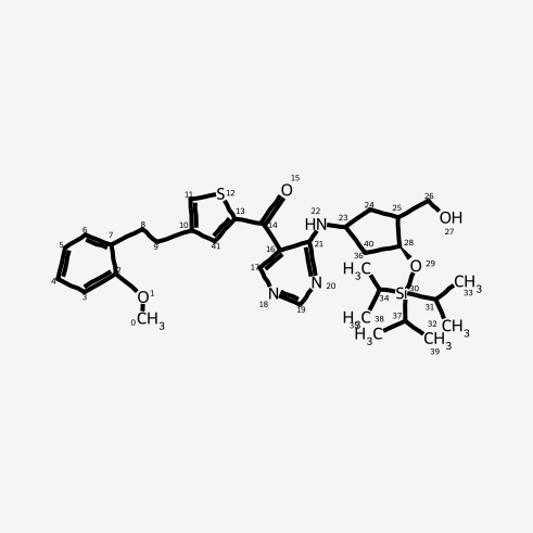 COc1ccccc1CCc1csc(C(=O)c2cncnc2NC2CC(CO)[C@@H](O[Si](C(C)C)(C(C)C)C(C)C)C2)c1